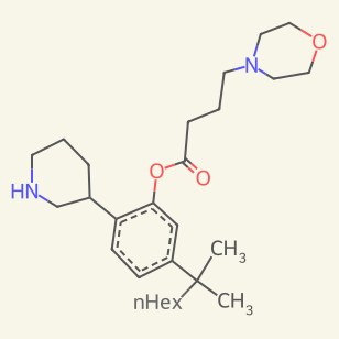 CCCCCCC(C)(C)c1ccc(C2CCCNC2)c(OC(=O)CCCN2CCOCC2)c1